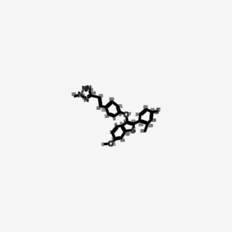 COc1ccc2c(Oc3ccc(C=Cc4nnn(C)n4)cc3)c(-c3ccc(F)cc3C)sc2c1